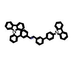 C(=C\c1cccc(-c2ccccc2-n2c3ccccc3c3ccccc32)c1)/c1cccc(-c2ccc(-n3c4ccccc4c4ccccc43)cc2)c1